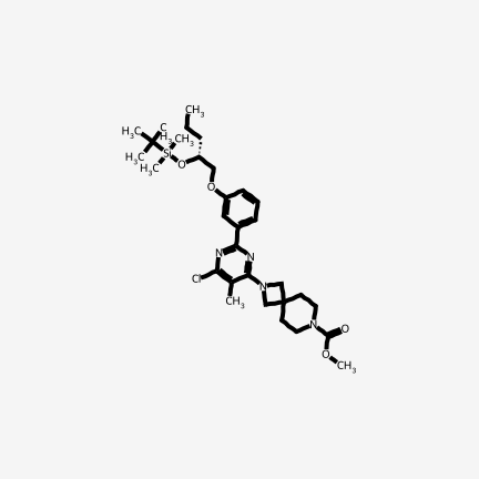 CCC[C@H](COc1cccc(-c2nc(Cl)c(C)c(N3CC4(CCN(C(=O)OC)CC4)C3)n2)c1)O[Si](C)(C)C(C)(C)C